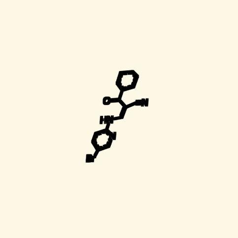 N#CC(=CNc1ccc(Br)cn1)C(=O)c1ccccc1